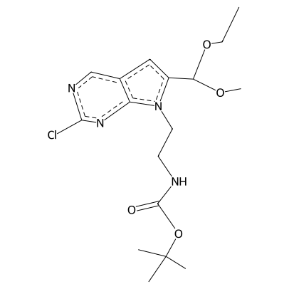 CCOC(OC)c1cc2cnc(Cl)nc2n1CCNC(=O)OC(C)(C)C